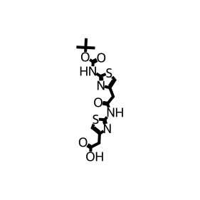 CC(C)(C)OC(=O)Nc1nc(CC(=O)Nc2nc(CC(=O)O)cs2)cs1